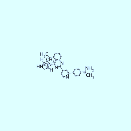 CC(C)c1cccc2nc(-c3ccnc(-c4ccc([C@H](C)N)cc4)c3)nc(N3C[C@@H]4C[C@H]3CN4)c12